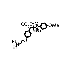 CCCCC(Cc1ccc(OCCN(CC)CC)cc1)(C(=O)OCC)S(=O)(=O)c1ccc(OC)cc1